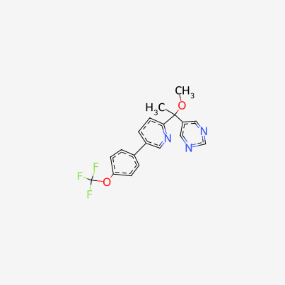 COC(C)(c1cncnc1)c1ccc(-c2ccc(OC(F)(F)F)cc2)cn1